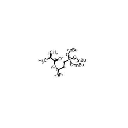 C=C(C)C(=O)OC(CCC)CC[Si](OCCCC)(OCCCC)OCCCC